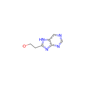 [O]CCc1nc2ncncc2[nH]1